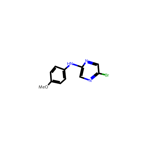 COc1ccc(Nc2cnc(Br)cn2)cc1